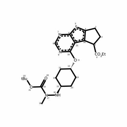 CCOC(=O)C1CCc2sc3ncnc(O[C@H]4CC[C@H](NN(C)C(=O)OC(C)(C)C)CC4)c3c21